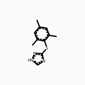 Cc1cc(C)c(Sc2nc[nH]n2)c(C)c1